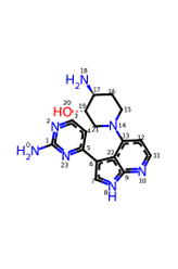 Nc1nccc(-c2c[nH]c3nccc(N4CC[C@H](N)[C@@H](O)C4)c23)n1